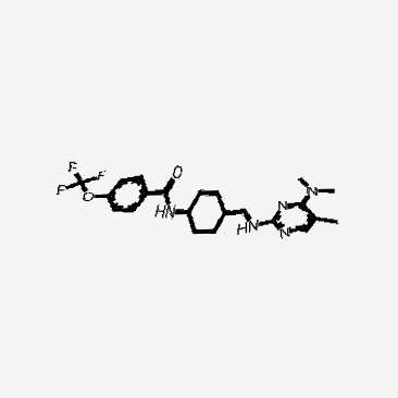 Cc1cnc(NCC2CCC(NC(=O)c3ccc(OC(F)(F)F)cc3)CC2)nc1N(C)C